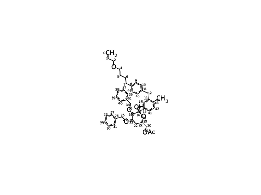 C=CCOCCCCc1ccc(Cc2cc([C@]3(O)O[C@H](COC(C)=O)C[C@H](OCc4ccccc4)[C@H]3OCc3ccccc3)ccc2C)cc1